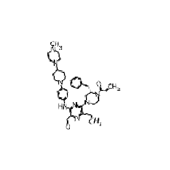 C=CC(=O)N1CCN(c2nc(Nc3ccc(N4CCC(N5CCN(C)CC5)CC4)cc3)c(C=O)nc2CC)C[C@@H]1Cc1ccccc1